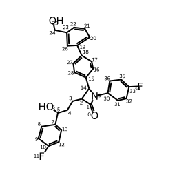 O=C1C(CC[C@H](O)c2ccc(F)cc2)C(c2ccc(-c3cccc(CO)c3)cc2)N1c1ccc(F)cc1